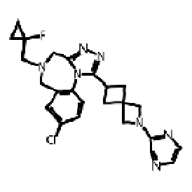 FC1(CN2Cc3cc(Cl)ccc3-n3c(nnc3C3CC4(C3)CN(c3cnccn3)C4)C2)CC1